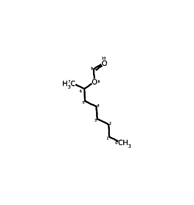 CCCCCCC(C)OC=O